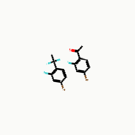 CC(=O)c1ccc(Br)cc1F.CC(F)(F)c1ccc(Br)cc1F